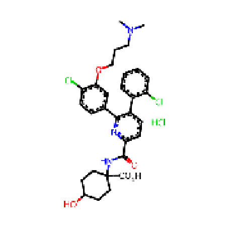 CN(C)CCCOc1cc(-c2nc(C(=O)NC3(C(=O)O)CCC(O)CC3)ccc2-c2ccccc2Cl)ccc1Cl.Cl